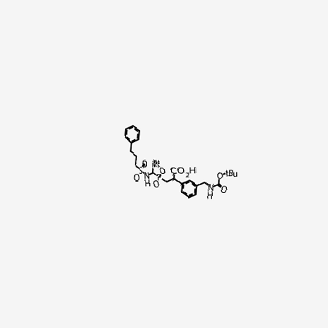 CCOP(=O)(CC(C(=O)O)c1cccc(CNC(=O)OC(C)(C)C)c1)C(NS(=O)(=O)CCCc1ccccc1)C(C)C